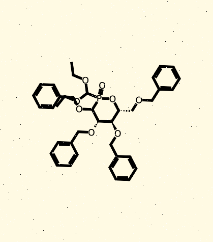 CCOC(OCC)P1(=O)O[C@H](COCc2ccccc2)[C@@H](OCc2ccccc2)[C@H](OCc2ccccc2)C1OCc1ccccc1